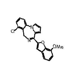 COc1cccc2cc(C3=NCc4c(Cl)cccc4-n4cccc43)oc12